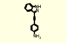 Nc1ccc(C#Cc2n[nH]c3ccccc23)cc1